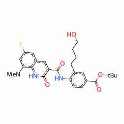 CNc1cc(F)cc2cc(C(=O)Nc3ccc(C(=O)OC(C)(C)C)cc3CCCCO)c(=O)[nH]c12